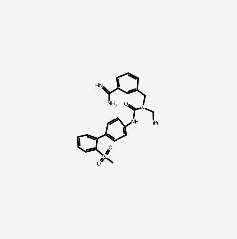 CC(C)CN(Cc1cccc(C(=N)N)c1)C(=O)Nc1ccc(-c2ccccc2S(C)(=O)=O)cc1